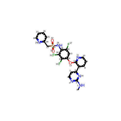 CNc1nccc(-c2cccnc2Oc2cc(F)c(NS(=O)(=O)Cc3ccccn3)c(F)c2F)n1